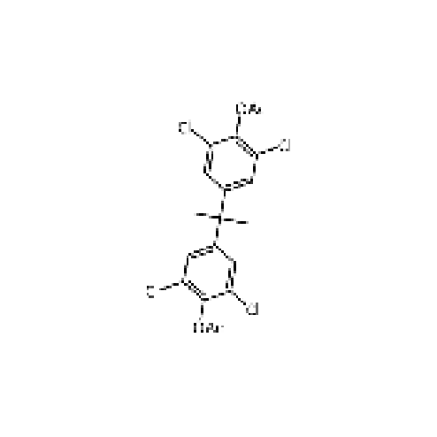 CC(=O)Oc1c(Cl)cc(C(C)(C)c2cc(Cl)c(OC(C)=O)c(Cl)c2)cc1Cl